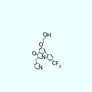 O=c1c(Cc2cccnc2)cn2c3cc(C(F)(F)F)ccc3c3cc(OCCCO)cc1c32